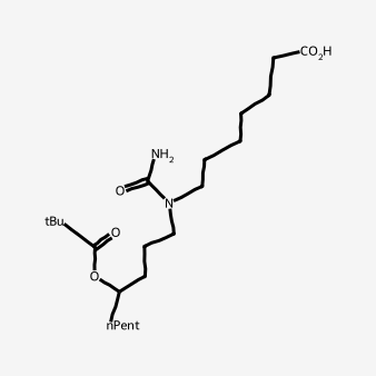 CCCCCC(CCCN(CCCCCCC(=O)O)C(N)=O)OC(=O)C(C)(C)C